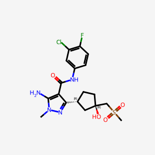 Cn1nc([C@@H]2CC[C@](O)(CS(C)(=O)=O)C2)c(C(=O)Nc2ccc(F)c(Cl)c2)c1N